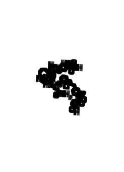 Cn1c(=O)n(C2CCC(=O)NC2=O)c2ccc(CCCc3cccc(OC[C@H](CCC(N)=O)NC(=O)[C@@H]4CC[C@@H]5CCCCC(NC(=O)c6cc7cc(C(=O)P(=O)(O)O)ccc7[nH]6)C(=O)N54)c3Cl)cc21